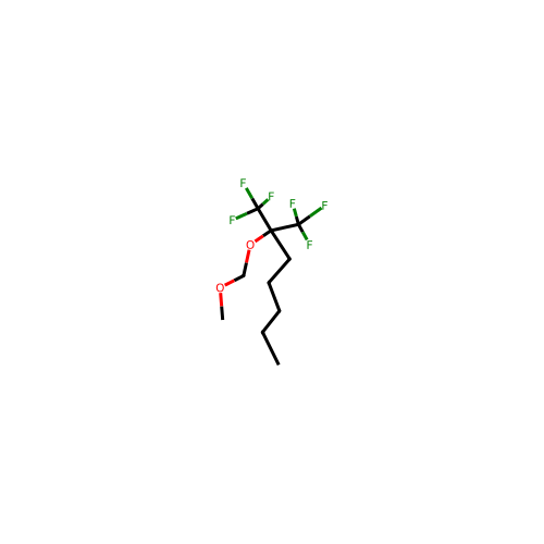 CCCCCC(OCOC)(C(F)(F)F)C(F)(F)F